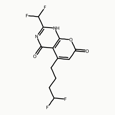 O=c1cc(CCCC(F)F)c2c(=O)nc(C(F)F)[nH]c2o1